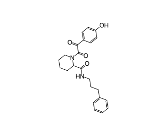 O=C(C(=O)N1CCCCC1C(=O)NCCCc1ccccc1)c1ccc(O)cc1